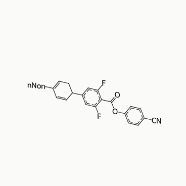 CCCCCCCCCC1=CCC(c2cc(F)c(C(=O)Oc3ccc(C#N)cc3)c(F)c2)C=C1